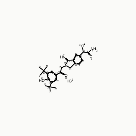 Br.COC(C(N)=O)c1ccc2c(c1)C(=N)N(CC(=O)c1cc(C(C)(C)C)c(O)c(C(C)(C)C)c1)C2